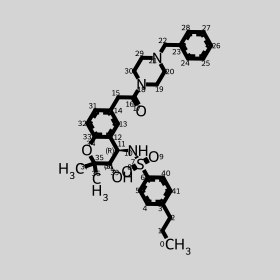 CCCc1ccc(S(=O)(=O)N[C@@H]2c3cc(CC(=O)N4CCN(Cc5ccccc5)CC4)ccc3OC(C)(C)[C@H]2O)cc1